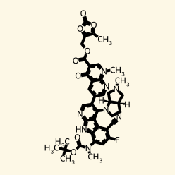 Cc1oc(=O)oc1COC(=O)c1cn(C)c2ncc(-c3cnc4[nH]c5c(N(C)C(=O)OC(C)(C)C)cc(F)c(C#N)c5c4c3N3CC[C@H]4CN(C)C[C@H]43)cc2c1=O